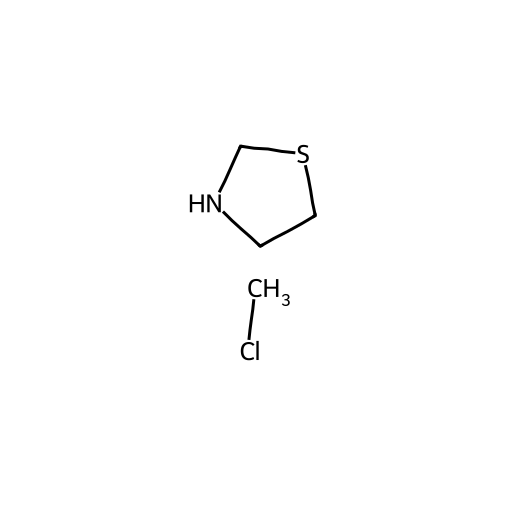 C1CSCN1.CCl